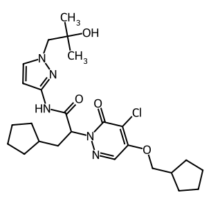 CC(C)(O)Cn1ccc(NC(=O)C(CC2CCCC2)n2ncc(OCC3CCCC3)c(Cl)c2=O)n1